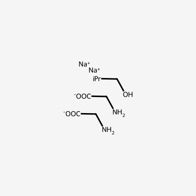 CC(C)CO.NCC(=O)[O-].NCC(=O)[O-].[Na+].[Na+]